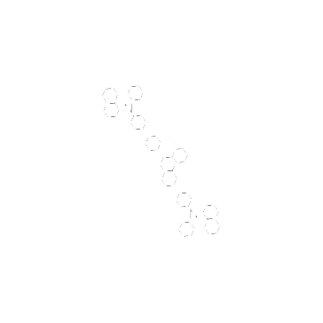 c1ccc(N(c2ccc(-c3ccc4c(c3)Oc3cccc5c3c-4cc3ccc(-c4ccc(N(c6ccccc6)c6cccc7ccccc67)cc4)cc35)cc2)c2cccc3ccccc23)cc1